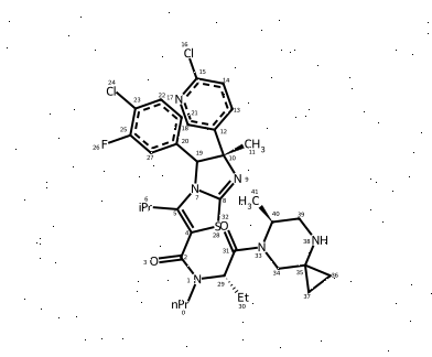 CCCN(C(=O)C1=C(C(C)C)N2C(=N[C@@](C)(c3ccc(Cl)nc3)C2c2ccc(Cl)c(F)c2)S1)[C@@H](CC)C(=O)N1CC2(CC2)NC[C@@H]1C